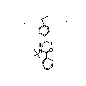 CCc1ccc(C(=O)NN(C(=O)c2ccccc2)C(C)(C)C)cc1